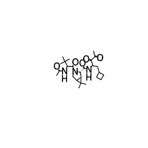 CC(=O)N[C@H](C(=O)N1CC2C([C@H]1C(=O)NC(CC1CCC1)C(=O)C(C)=O)C2(C)C)C(C)(C)C